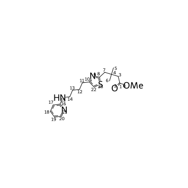 COC(=O)CC(C)(C)Cc1nc(CCCCNc2ccccn2)cs1